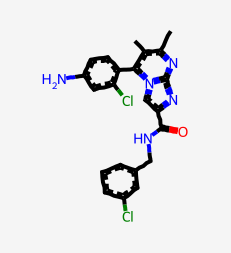 Cc1nc2nc(C(=O)NCc3cccc(Cl)c3)cn2c(-c2ccc(N)cc2Cl)c1C